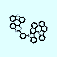 c1cc(-c2nc(-c3cccc4oc5ccccc5c34)c3ccccc3n2)cc(-n2c3ccccc3c3c(-n4c5ccccc5c5ccc6ccccc6c54)c4ccccc4cc32)c1